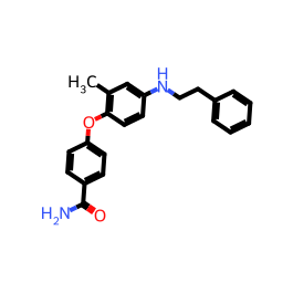 Cc1cc(NCCc2ccccc2)ccc1Oc1ccc(C(N)=O)cc1